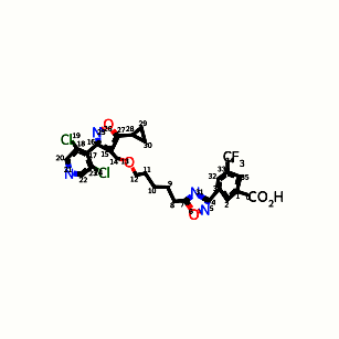 O=C(O)c1cc(-c2noc(CCCCCOCc3c(-c4c(Cl)cncc4Cl)noc3C3CC3)n2)cc(C(F)(F)F)c1